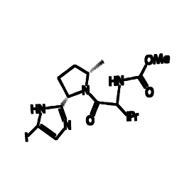 COC(=O)NC(C(=O)N1[C@@H](C)CC[C@H]1c1ncc(I)[nH]1)C(C)C